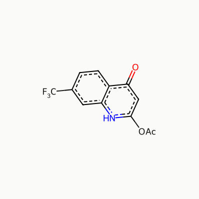 CC(=O)Oc1cc(=O)c2ccc(C(F)(F)F)cc2[nH]1